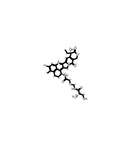 CC[C@@]1(O)C(=O)OCc2c1cc1n(c2=O)Cc2c-1nc1cc(F)c(C)c3c1c2[C@@H](NC(=O)COCNC(=O)[C@@H](N)CO)CC3